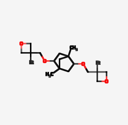 CCC1(COC2CC3(C)CC2(C)CC3OCC2(CC)COC2)COC1